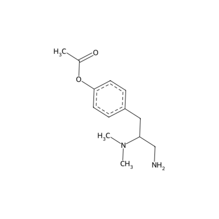 CC(=O)Oc1ccc(CC(CN)N(C)C)cc1